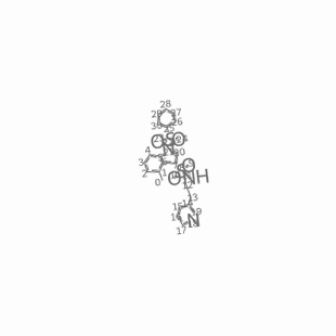 Cc1cccc2c1c(S(=O)(=O)NCCc1cccnc1)cn2S(=O)(=O)c1ccccc1